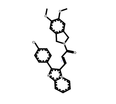 COc1cc2c(cc1OC)CN(C(=O)/C=C/c1c(-c3ccc(Cl)cc3)nc3ccccn13)C2